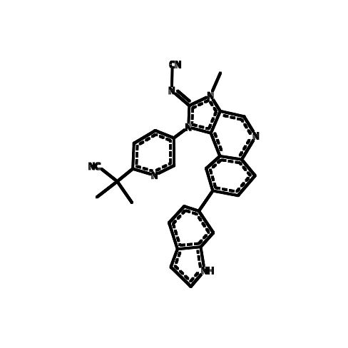 Cn1c(=NC#N)n(-c2ccc(C(C)(C)C#N)nc2)c2c3cc(-c4ccc5cc[nH]c5c4)ccc3ncc21